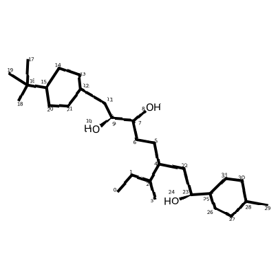 CCC(C)C(CCC(O)[C@@H](O)CC1CCC(C(C)(C)C)CC1)C[C@H](O)C1CCC(C)CC1